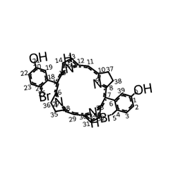 Oc1ccc(Br)c(-c2c3nc(cc4ccc([nH]4)c(-c4cc(O)ccc4Br)c4nc(cc5ccc2[nH]5)CC4)CC3)c1